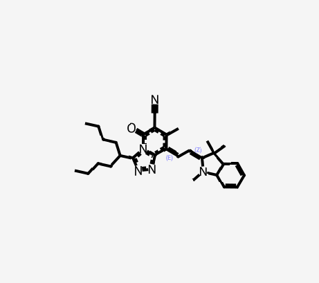 CCCCC(CCCC)c1nnc2/c(=C/C=C3\N(C)C4C=CC=CC4C3(C)C)c(C)c(C#N)c(=O)n12